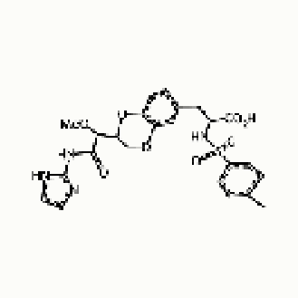 COC(C(=O)Nc1ncc[nH]1)C1COc2cc(CC(NS(=O)(=O)c3ccc(C)cc3)C(=O)O)ccc2O1